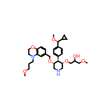 COCCCN1CCOc2ccc(CO[C@H]3CNC[C@@H](OCC(O)COC)[C@@H]3c3ccc([C@@H](OC)C4CC4)cc3)cc21